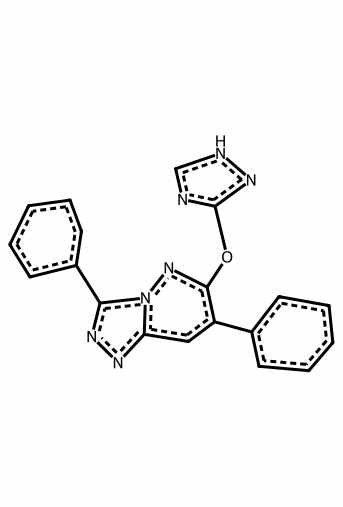 c1ccc(-c2cc3nnc(-c4ccccc4)n3nc2Oc2nc[nH]n2)cc1